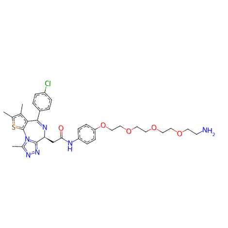 Cc1sc2c(c1C)C(c1ccc(Cl)cc1)=N[C@@H](CC(=O)Nc1ccc(OCCOCCOCCOCCN)cc1)c1nnc(C)n1-2